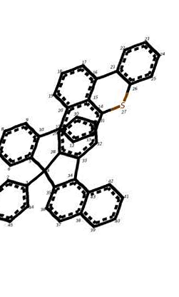 c1ccc(C2(c3ccccc3-c3ccc4c5c(cccc35)-c3ccccc3S4)c3ccccc3-c3c2ccc2ccccc32)cc1